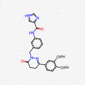 COc1ccc(C2=NN(Cc3cccc(NC(=O)c4c[nH]cn4)c3)C(=O)CC2)cc1OC